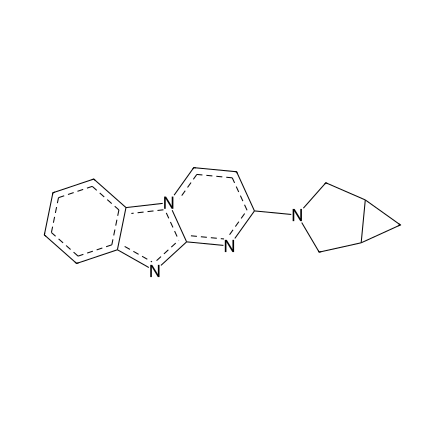 c1ccc2c(c1)nc1nc(N3CC4CC4C3)ccn12